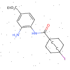 CCOC(=O)c1ccc(NC(=O)C23CCC(I)(CC2)CC3)c(N)c1